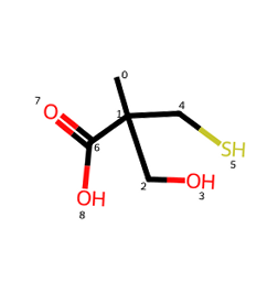 CC(CO)(CS)C(=O)O